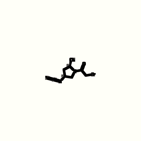 N#C[C@@H]1C[C@H](N=[N+]=[N-])CN1C(=O)CBr